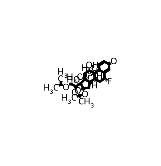 CC(C)OCC(=O)[C@@]1(O)C2(C[C@H]3[C@@H]4C[C@H](F)C5=CC(=O)C=C[C@]5(C)[C@@]4(Br)[C@@H](O)C[C@@]31C)OC(C)(C)O2